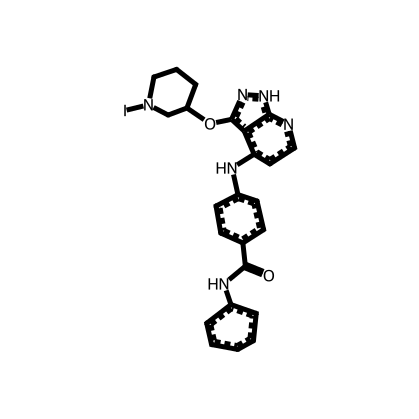 O=C(Nc1ccccc1)c1ccc(Nc2ccnc3[nH]nc(OC4CCCN(I)C4)c23)cc1